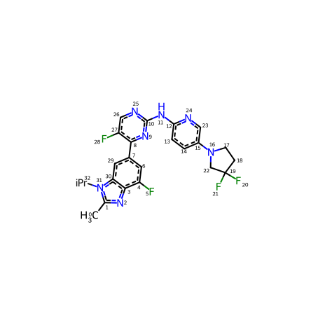 Cc1nc2c(F)cc(-c3nc(Nc4ccc(N5CCC(F)(F)C5)cn4)ncc3F)cc2n1C(C)C